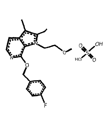 COCCn1c(C)c(C)c2ccnc(OCc3ccc(F)cc3)c21.O=S(=O)(O)O